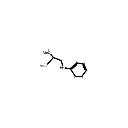 COC(CNC1=CC=CCC1)OC